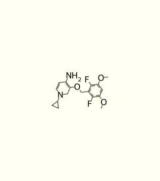 COc1cc(OC)c(F)c(COC2=C(N)C=CN(C3CC3)C2)c1F